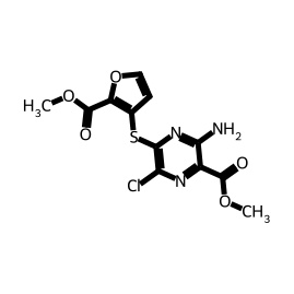 COC(=O)c1nc(Cl)c(Sc2ccoc2C(=O)OC)nc1N